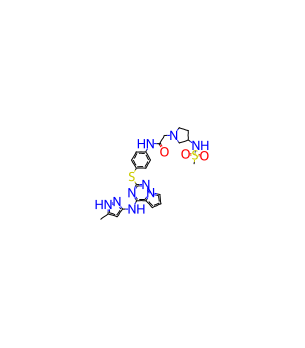 Cc1cc(Nc2nc(Sc3ccc(NC(=O)CN4CCC(NS(C)(=O)=O)C4)cc3)nn3cccc23)n[nH]1